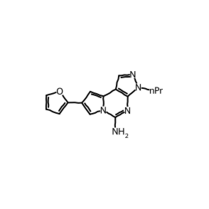 CCCn1ncc2c1nc(N)n1cc(-c3ccco3)cc21